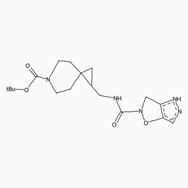 CC(C)(C)OC(=O)N1CCC2(CC1)CC2CNC(=O)N1Cc2[nH]ncc2O1